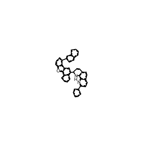 C1=CC(c2cc3c(oc4cccc(-c5ccc6ccccc6c5)c43)c3ccccc23)Nc2c1ccc1ccc(-c3ccccc3)nc21